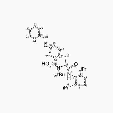 CC(C)c1cccc(C(C)C)c1NC(=O)C(Cc1ccc(OCc2ccccc2)cc1)N(C(=O)O)C(C)(C)C